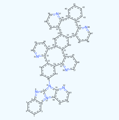 c1ccc2c(c1)nc1n(-c3ccc4c(c3)c3ncccc3c3cc5c(cc3c3cccnc34)c3cccnc3c3ccccc3c3ncccc53)c3ncccc3n21